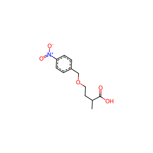 CC(CCOCc1ccc([N+](=O)[O-])cc1)C(=O)O